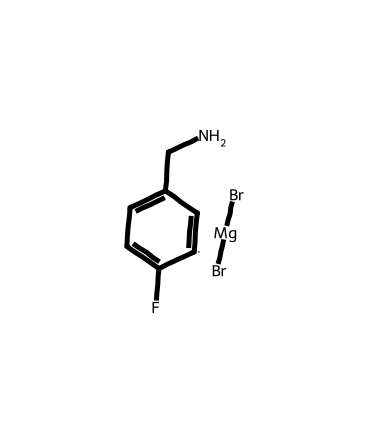 NCc1c[c]c(F)cc1.[Br][Mg][Br]